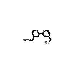 CSCc1ccnc(-c2cc(CC(C)(C)C)ccn2)c1